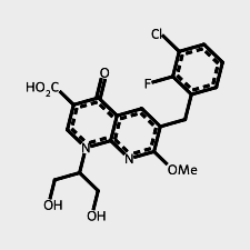 COc1nc2c(cc1Cc1cccc(Cl)c1F)c(=O)c(C(=O)O)cn2C(CO)CO